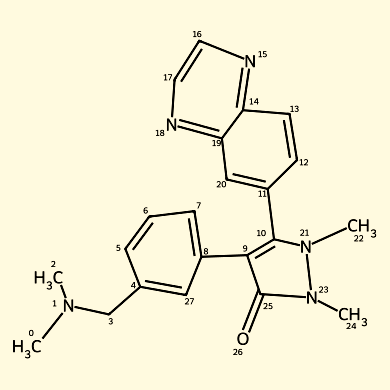 CN(C)Cc1cccc(-c2c(-c3ccc4nccnc4c3)n(C)n(C)c2=O)c1